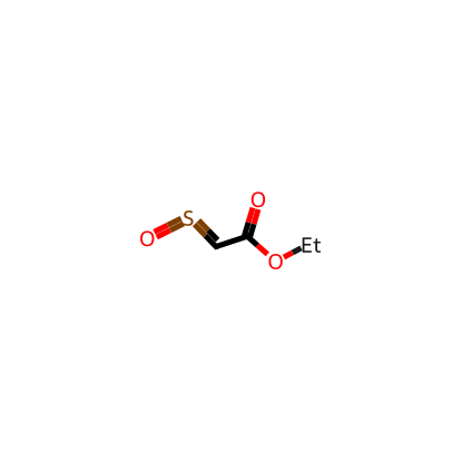 CCOC(=O)C=S=O